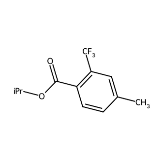 Cc1ccc(C(=O)OC(C)C)c(C(F)(F)F)c1